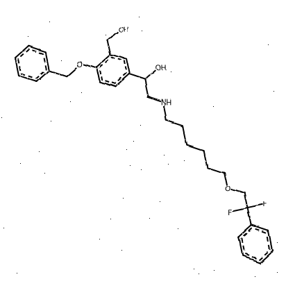 OCc1cc(C(O)CNCCCCCCOCC(F)(F)c2ccccc2)ccc1OCc1ccccc1